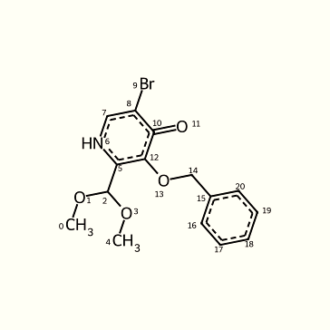 COC(OC)c1[nH]cc(Br)c(=O)c1OCc1ccccc1